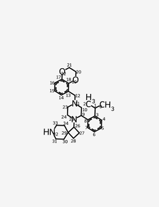 CC(C)c1ccccc1C1CN(Cc2cccc3c2OCCO3)CCN1C1CCC12CCNCC2